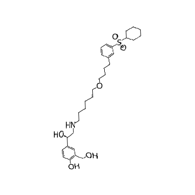 O=S(=O)(c1cccc(CCCCOCCCCCCNC[C@H](O)c2ccc(O)c(CO)c2)c1)C1CCCCC1